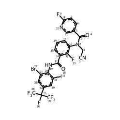 N#CCN(C(=O)c1ccc(F)nc1)c1cccc(C(=O)Nc2c(Br)cc(C(F)(C(F)(F)F)C(F)(F)F)cc2I)c1F